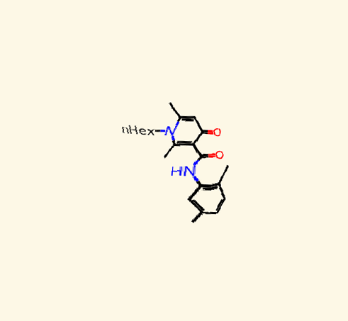 CCCCCCn1c(C)cc(=O)c(C(=O)Nc2cc(C)ccc2C)c1C